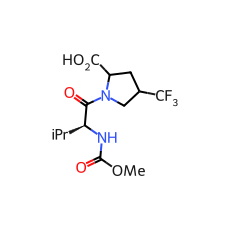 COC(=O)N[C@H](C(=O)N1CC(C(F)(F)F)CC1C(=O)O)C(C)C